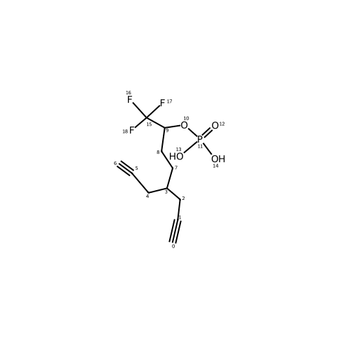 C#CCC(CC#C)CCC(OP(=O)(O)O)C(F)(F)F